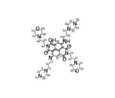 CN1CCN(CCCN=c2cc3c(=O)n(CCCN4CCOCC4)c(=O)c4c(NCCCN5CCN(C)CC5)cc5c(O)n(CCCN6CCOCC6)c(=O)c2c5c4-3)CC1